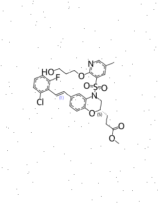 COC(=O)CC[C@H]1CN(S(=O)(=O)c2cc(C)cnc2OCCCO)c2cc(/C=C/c3c(F)cccc3Cl)ccc2O1